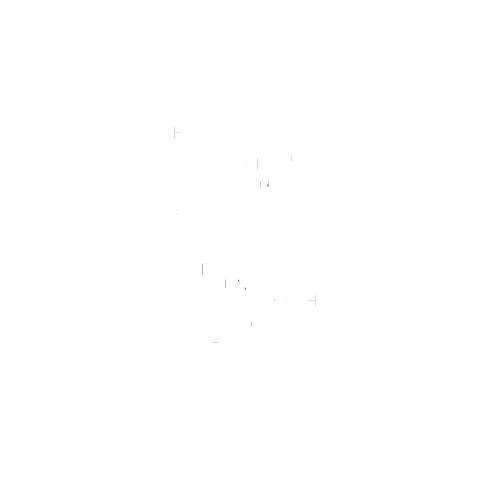 O=C1CCc2c(CC(NC(=O)c3c(F)cccc3F)C(=O)O)ccc(-c3c(Cl)cc(F)cc3Cl)c2N1